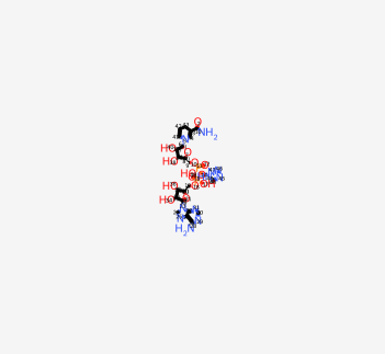 NC(=O)C1=CN([C@@H]2O[C@H](COP(=O)(O)OP(=O)(O)OC[C@H]3O[C@@H](n4cnc5c(N)ncnc54)[C@H](O)[C@@H]3O)[C@@H](O)[C@H]2O)C=CC1.c1nnn[nH]1